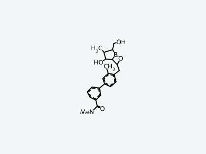 CNC(=O)c1cccc(-c2ccc(CC3OB4C(CO)C(C)C(O)C43)c(C)c2)c1